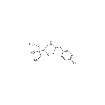 CCC(O)(CC)C1CNC(Cc2ccc(Cl)cc2)CO1